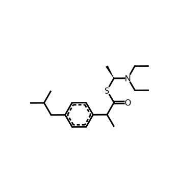 CCN(CC)[C@H](C)SC(=O)C(C)c1ccc(CC(C)C)cc1